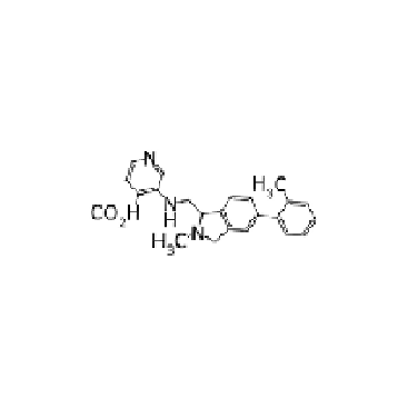 Cc1ccccc1-c1ccc2c(c1)CN(C)C2CNc1cnccc1C(=O)O